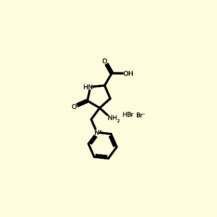 Br.NC1(C[n+]2ccccc2)CC(C(=O)O)NC1=O.[Br-]